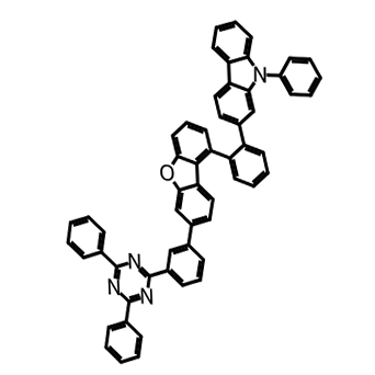 c1ccc(-c2nc(-c3ccccc3)nc(-c3cccc(-c4ccc5c(c4)oc4cccc(-c6ccccc6-c6ccc7c8ccccc8n(-c8ccccc8)c7c6)c45)c3)n2)cc1